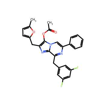 CC(=O)Oc1c(Cc2ccc(C)o2)nc2c(Cc3cc(F)cc(F)c3)nc(-c3ccccc3)cn12